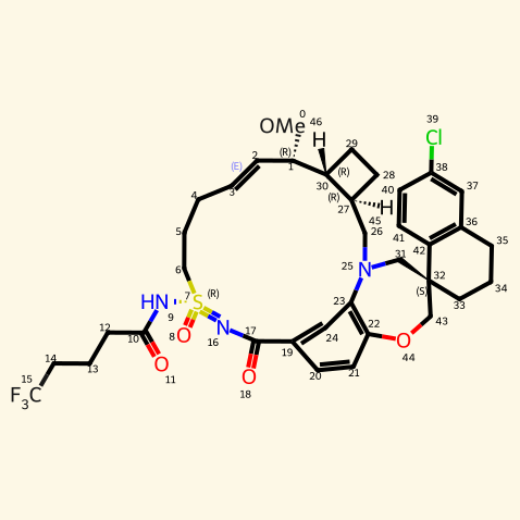 CO[C@H]1/C=C/CCC[S@@](=O)(NC(=O)CCCC(F)(F)F)=NC(=O)c2ccc3c(c2)N(C[C@@H]2CC[C@H]21)C[C@@]1(CCCc2cc(Cl)ccc21)CO3